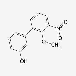 COc1c(-c2cccc(O)c2)cccc1[N+](=O)[O-]